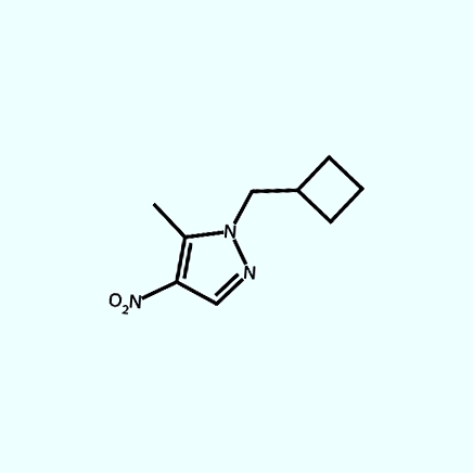 Cc1c([N+](=O)[O-])cnn1CC1CCC1